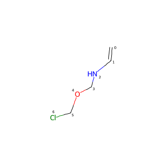 C=CNCOCCl